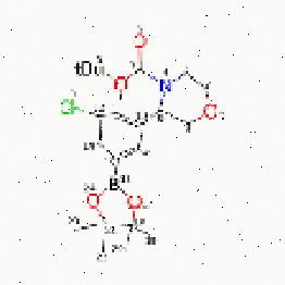 CC(C)(C)OC(=O)N1CCOCC1c1cc(Cl)cc(B2OC(C)(C)C(C)(C)O2)c1